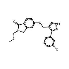 CCCN1Cc2cc(OCc3c[nH]nc3-c3cccc(Cl)c3)ccc2C1=O